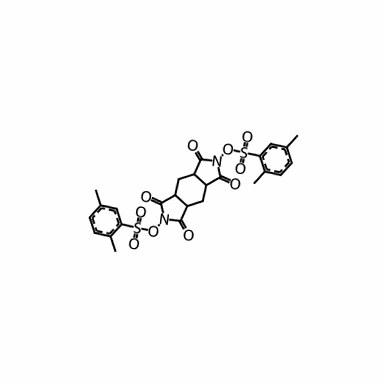 Cc1ccc(C)c(S(=O)(=O)ON2C(=O)C3CC4C(=O)N(OS(=O)(=O)c5cc(C)ccc5C)C(=O)C4CC3C2=O)c1